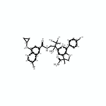 CC1(C(N)=O)COc2c1cc(C(O)(CNC(=O)c1cc(OC3CC3)c3ncc(Br)cc3c1)C(F)(F)F)nc2-c1ccc(F)cc1